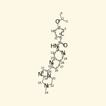 CC(C)Oc1ccc(C(=O)Nc2cc3nc(-c4cnc5n4CCN(C)C5)ccc3cn2)cc1